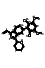 C=Cc1nn(C2CCCCO2)c2cc(-c3c(Cl)c(OC)cc(OC)c3Cl)ncc12